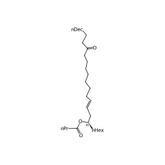 CCCCCCCCCCCCC(=O)CCCCCCCC=CC[C@@H](CCCCCC)OC(=O)CCC